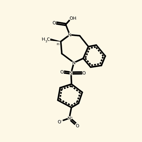 C[C@@H]1CN(S(=O)(=O)c2ccc([N+](=O)[O-])cc2)c2ccccc2CN1C(=O)O